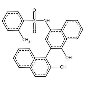 Cc1ccccc1S(=O)(=O)Nc1cc(-c2c(O)ccc3ccccc23)c(O)c2ccccc12